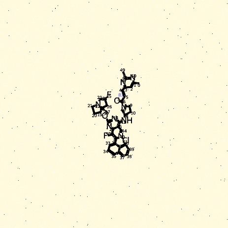 Cc1cc(/C=C/C(=O)N2CC[C@@H](Nc3nc(OC[C@@]45CCCN4C[C@H](F)C5)nc4c(F)c(-c5cccc6cccc(Cl)c56)ncc34)C2)nc(C)n1